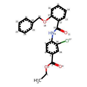 CCOC(=O)c1ccc(NC(=O)c2ccccc2OCc2ccccc2)c(Cl)c1